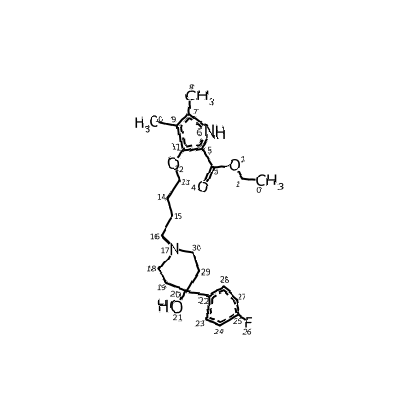 CCOC(=O)c1[nH]c(C)c(C)c1OCCCCN1CCC(O)(c2ccc(F)cc2)CC1